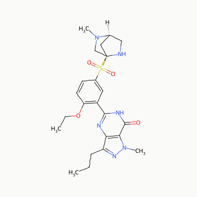 CCCc1nn(C)c2c(=O)[nH]c(-c3cc(S(=O)(=O)[C@@]45C[C@H](CN4)N(C)C5)ccc3OCC)nc12